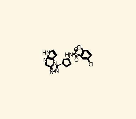 O=S(=O)(N[C@H]1CC[C@@H](c2nnc3cnc4[nH]ccc4n23)C1)c1cc(Cl)ccc1Cl